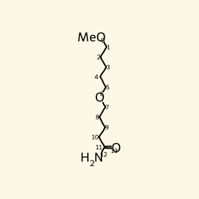 COCCCCCOCCCCC(N)=O